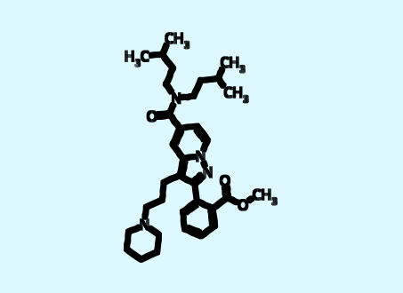 COC(=O)c1ccccc1-c1nn2ccc(C(=O)N(CCC(C)C)CCC(C)C)cc2c1CCCN1CCCCC1